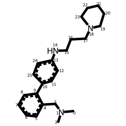 CN(C)Cc1ccccc1-c1ccc(NCCCN2CCCCC2)cc1